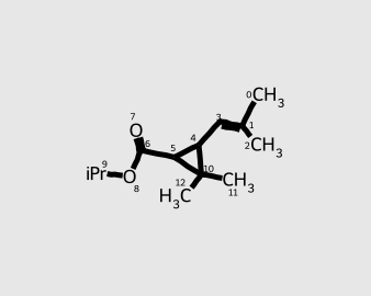 CC(C)=CC1C(C(=O)OC(C)C)C1(C)C